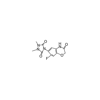 Cn1c(=O)n(-c2cc3c(cc2F)OCC(=O)N3)c(=O)n1C